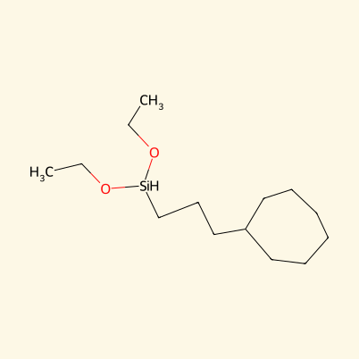 CCO[SiH](CCCC1CCCCCC1)OCC